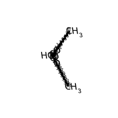 CCCCCCCCCCCCCOCCOP(=O)(O)OCCOCCCCCCCCCCCCC